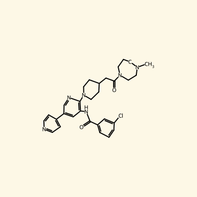 CN1CCCN(C(=O)CC2CCN(c3ncc(-c4ccncc4)cc3NC(=O)c3cccc(Cl)c3)CC2)CC1